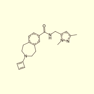 Cc1cc(CNC(=O)c2ccc3c(c2)CCN(C2=CC=C2)CC3)n(C)n1